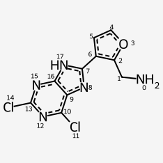 NCc1occc1-c1nc2c(Cl)nc(Cl)nc2[nH]1